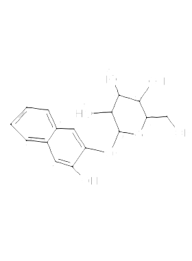 OCC1OC(Oc2cc3ccccc3cc2O)C(O)C(O)C1O